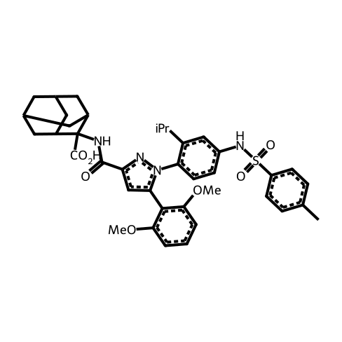 COc1cccc(OC)c1-c1cc(C(=O)NC2(C(=O)O)C3CC4CC(C3)CC2C4)nn1-c1ccc(NS(=O)(=O)c2ccc(C)cc2)cc1C(C)C